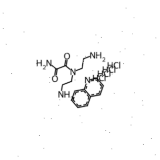 Cl.Cl.Cl.Cl.NCCN(CCN)C(=O)C(N)=O.c1ccc2ncccc2c1